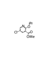 COC(=O)c1cc(Cl)cnc1OC(C)C